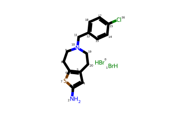 Br.Br.Nc1cc2c(s1)CCN(Cc1ccc(Cl)cc1)CC2